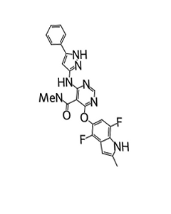 CNC(=O)c1c(Nc2cc(-c3ccccc3)[nH]n2)ncnc1Oc1cc(F)c2[nH]c(C)cc2c1F